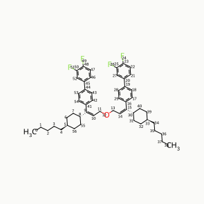 CCCCC[C@H]1CC[C@H](C(=CCOCC=C(c2ccc(-c3ccc(F)c(F)c3)cc2)[C@H]2CC[C@H](CCCCC)CC2)c2ccc(-c3ccc(F)c(F)c3)cc2)CC1